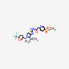 CCS(=O)(=O)c1ccc(CC(=O)Nc2nc3c(s2)CN(C[C@@H]2CC[C@@H](C(F)(F)F)OC2)[C@H]3C(C)C)nc1